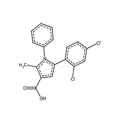 Cc1c(C(=O)O)cc(-c2ccc(Cl)cc2Cl)n1-c1ccccc1